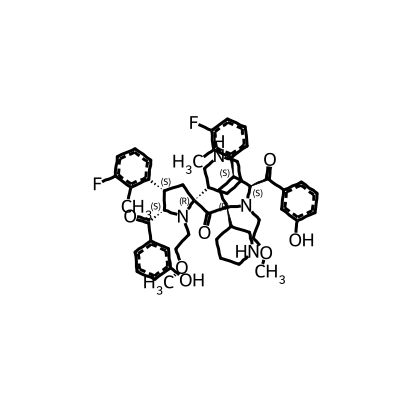 COCCN1[C@H](C(=O)c2cccc(O)c2)[C@H](c2cccc(F)c2C)C[C@]1(C(=O)[C@]1(C2CCCNC2)C[C@@H](c2cccc(F)c2C)[C@@H](C(=O)c2cccc(O)c2)N1CCOC)C1CCCNC1